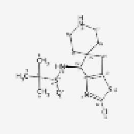 CC(C)(C)[S+]([O-])N[C@@H]1c2nc(Cl)sc2CC12CCNCC2